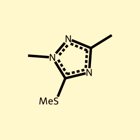 CSc1nc(C)nn1C